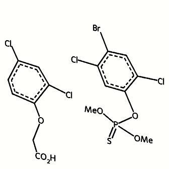 COP(=S)(OC)Oc1cc(Cl)c(Br)cc1Cl.O=C(O)COc1ccc(Cl)cc1Cl